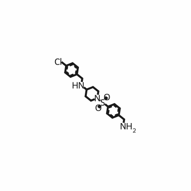 NCc1ccc(S(=O)(=O)N2CCC(NCc3ccc(Cl)cc3)CC2)cc1